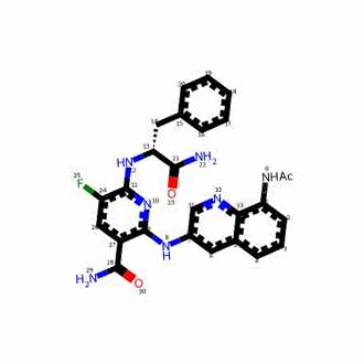 CC(=O)Nc1cccc2cc(Nc3nc(N[C@H](Cc4ccccc4)C(N)=O)c(F)cc3C(N)=O)cnc12